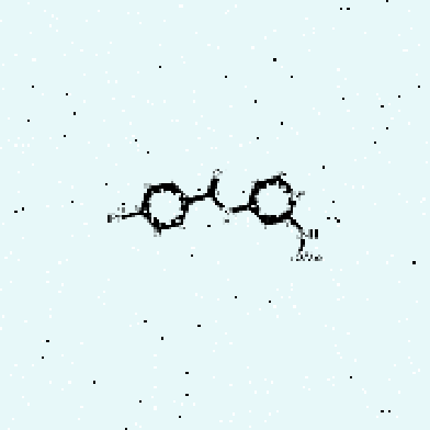 CONc1cc(NC(=O)c2ccc(C(C)C)cc2)ccn1